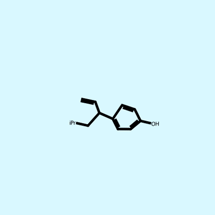 C=CC(CC(C)C)c1ccc(O)cc1